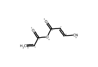 C=CC(=O)OC(=O)C=CC#N